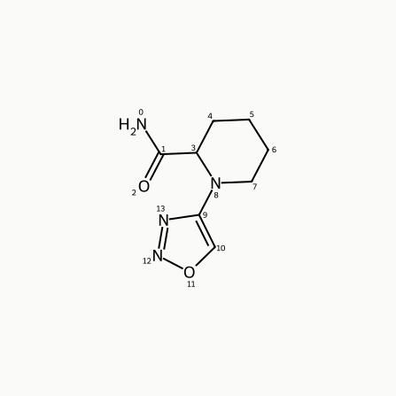 NC(=O)C1CCCCN1c1conn1